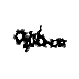 CCOc1cc(N2CCC3(CC2)OCCO3)ccc1-c1nc2c(C)nn(C3CCCCC3)c2c(=O)[nH]1